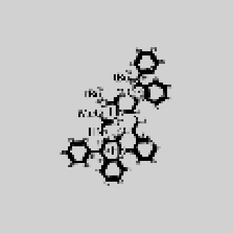 COC(=O)N[C@H](C(=O)Nc1cccnc1CC[C@@H](CO[Si](c1ccccc1)(c1ccccc1)C(C)(C)C)NC(=O)OC(C)(C)C)C(c1ccccc1)c1ccccc1